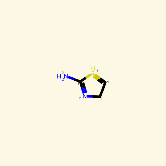 NC1=NCC=[SH]1